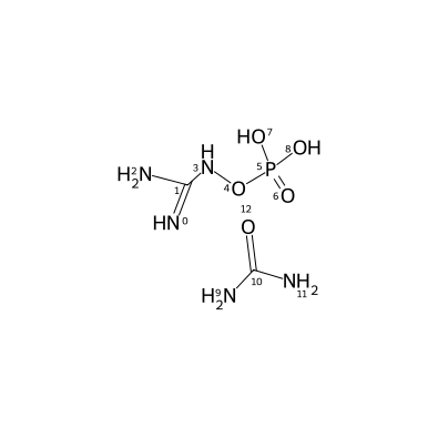 N=C(N)NOP(=O)(O)O.NC(N)=O